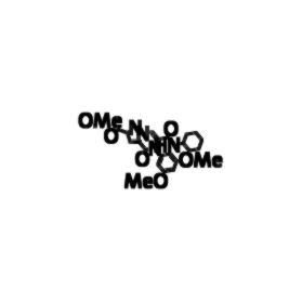 COC(=O)c1cc2c(=O)n(-c3cc(OC)cc(OC)c3)c(C(=O)NC3CCCCC3)cn2n1